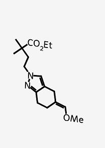 CCOC(=O)C(C)(C)CCn1cc2c(n1)CCC(=COC)C2